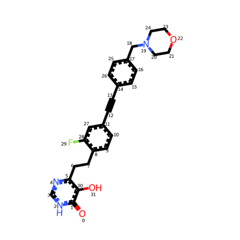 O=c1[nH]cnc(CCc2ccc(C#Cc3ccc(CN4CCOCC4)cc3)cc2F)c1O